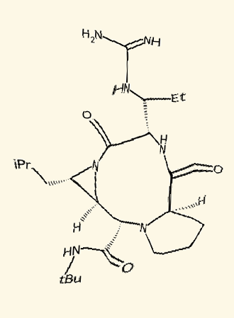 CCC(NC(=N)N)[C@@H]1NC(=O)[C@H]2CCCN2[C@H](C(=O)NC(C)(C)C)[C@H]2[C@H](CC(C)C)N2C1=O